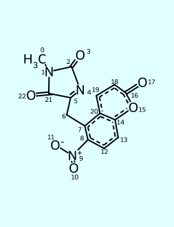 CN1C(=O)N=C(Cc2c([N+](=O)[O-])ccc3oc(=O)ccc23)C1=O